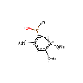 COc1cc(NC(C)=O)c([S+]([O-])C(C)C)cc1OC